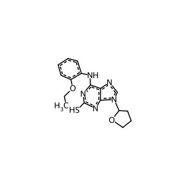 CCOc1ccccc1Nc1nc(S)nc2c1ncn2C1CCCO1